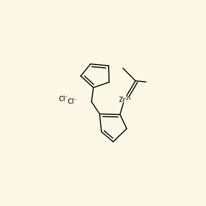 C[C](C)=[Zr+2][C]1=C(CC2=CC=CC2)C=CC1.[Cl-].[Cl-]